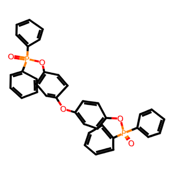 O=P(Oc1ccc(Oc2ccc(OP(=O)(c3ccccc3)c3ccccc3)cc2)cc1)(c1ccccc1)c1ccccc1